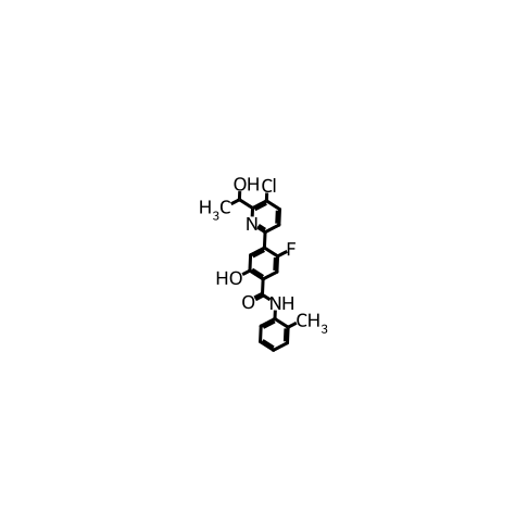 Cc1ccccc1NC(=O)c1cc(F)c(-c2ccc(Cl)c(C(C)O)n2)cc1O